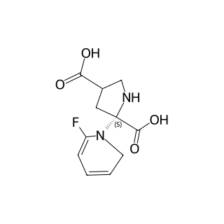 O=C(O)C1CN[C@](C(=O)O)(N2CC=CC=C2F)C1